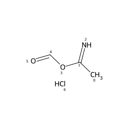 CC(=N)OC=O.Cl